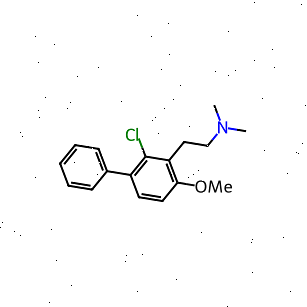 COc1ccc(-c2ccccc2)c(Cl)c1CCN(C)C